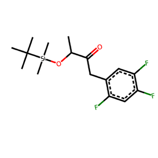 CC(O[Si](C)(C)C(C)(C)C)C(=O)Cc1cc(F)c(F)cc1F